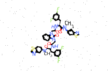 CN(C(=O)C(Cc1cc(F)cc(F)c1)NC(=O)Cn1c(=O)n(CC(=O)N[C@@H](Cc2cc(F)cc(F)c2)C(=O)N(C)c2ccc3scnc3c2)c2ccccc21)c1ccc2scnc2c1